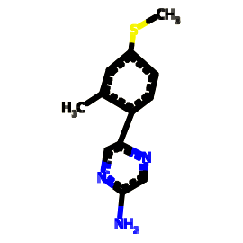 CSc1ccc(-c2cnc(N)cn2)c(C)c1